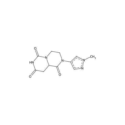 Cn1cc(N2CCN3C(=O)NC(=O)CC3C2=O)cn1